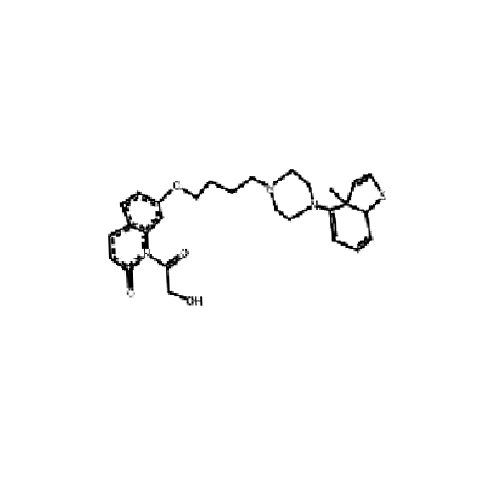 CC12C=CSC1C=CC=C2N1CCN(CCCCOc2ccc3ccc(=O)n(C(=O)CO)c3c2)CC1